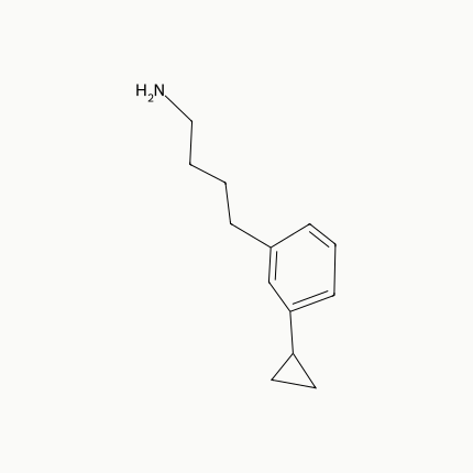 NCCCCc1cccc(C2CC2)c1